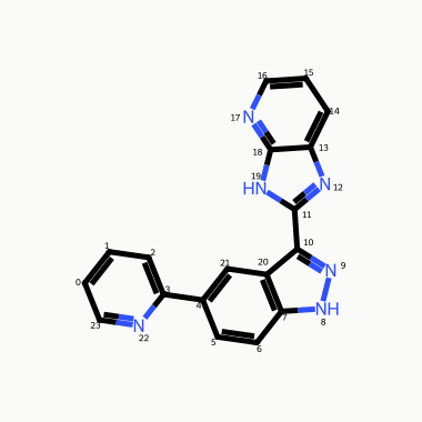 c1ccc(-c2ccc3[nH]nc(-c4nc5cccnc5[nH]4)c3c2)nc1